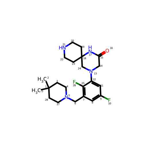 CC1(C)CCN(Cc2cc(F)cc(N3CC(=O)NC4(CCNCC4)C3)c2F)CC1